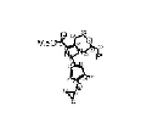 COC(=O)c1nc(-c2ccc(OC3CC3)c(C)c2)n2c1CCOC(CF)C2